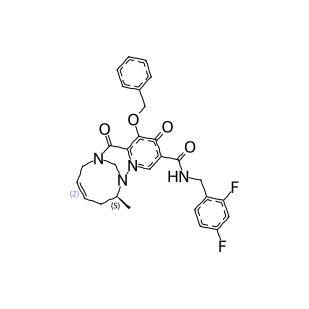 C[C@H]1C/C=C\CN2CN1n1cc(C(=O)NCc3ccc(F)cc3F)c(=O)c(OCc3ccccc3)c1C2=O